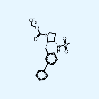 CS(=O)(=O)N[C@H]1CCN(C(=O)OCC(F)(F)F)[C@H]1Cc1cccc(-c2ccccc2)c1